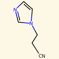 N#CCCn1ccnc1